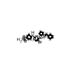 NS(=O)(=O)c1ccc(Nc2ncc(Br)c(NC3CCCC3OCc3ccccc3)n2)cc1